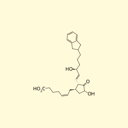 O=C(O)CCC/C=C\C[C@@H]1CC(O)C(=O)[C@H]1/C=C/[C@@H](O)CCCC1Cc2ccccc2C1